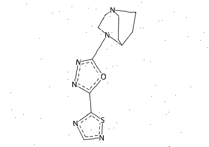 c1nsc(-c2nnc(N3CCN4CCC3CC4)o2)n1